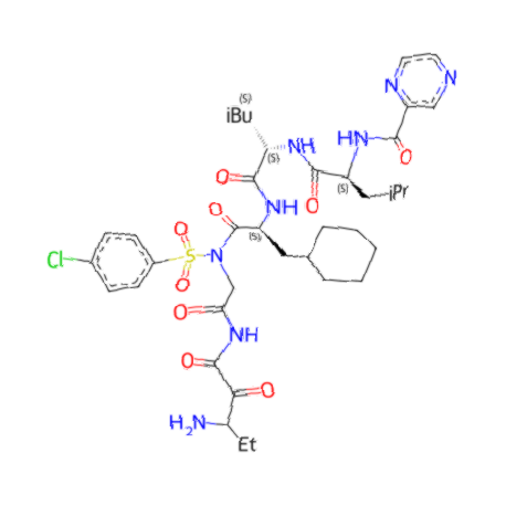 CCC(N)C(=O)C(=O)NC(=O)CN(C(=O)[C@H](CC1CCCCC1)NC(=O)[C@@H](NC(=O)[C@H](CC(C)C)NC(=O)c1cnccn1)[C@@H](C)CC)S(=O)(=O)c1ccc(Cl)cc1